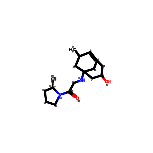 CC1C=C2CC(O)CC(NCC(=O)N3CCC[C@H]3C#N)(C2)C1